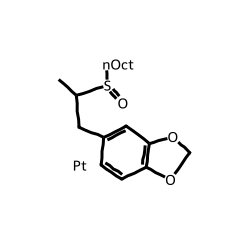 CCCCCCCCS(=O)C(C)Cc1ccc2c(c1)OCO2.[Pt]